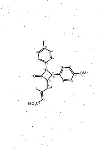 CCOC(=O)/C=C(\C)N[C@H]1C(=O)N(c2ccc(C)cc2)[C@H]1c1ccc(OC)cc1